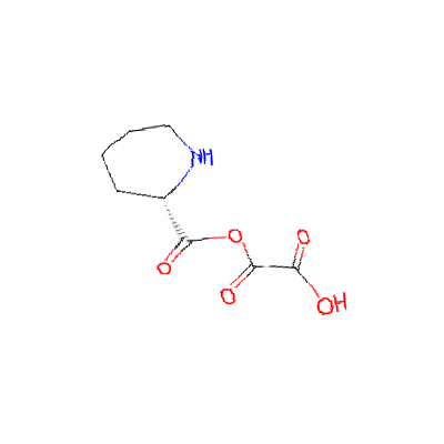 O=C(O)C(=O)OC(=O)[C@@H]1CCCCN1